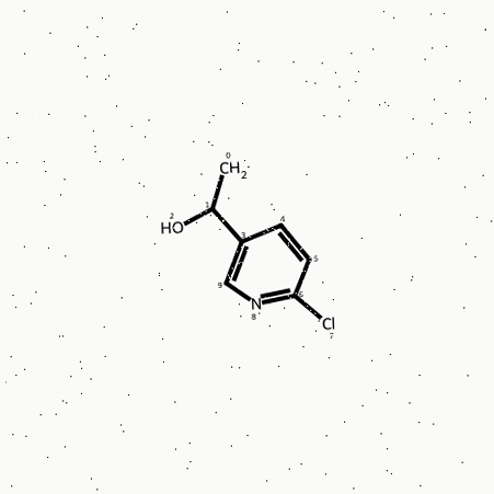 [CH2]C(O)c1ccc(Cl)nc1